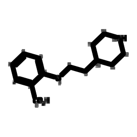 O=C(O)c1ccccc1OCCC1CCNCC1